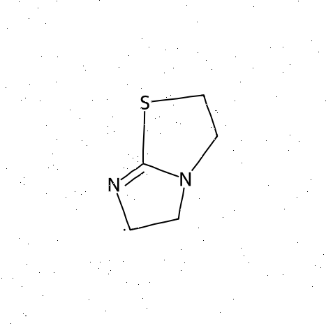 [CH]1CN2CCSC2=N1